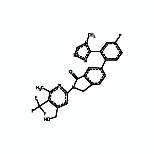 Cc1nc(N2Cc3ccc(-c4ccc(F)cc4-c4nncn4C)cc3C2=O)cc(CO)c1C(F)(F)F